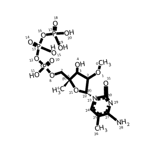 COC1C(O)[C@@](C)(COP(=O)(O)OP(=O)(O)OP(=O)(O)O)O[C@H]1n1cc(C)c(N)nc1=O